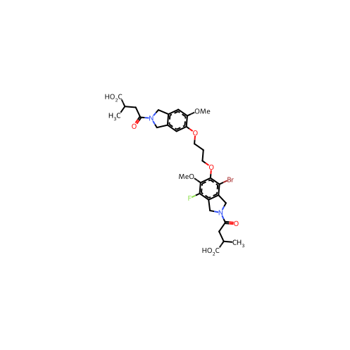 COc1cc2c(cc1OCCCOc1c(Br)c3c(c(F)c1OC)CN(C(=O)CC(C)C(=O)O)C3)CN(C(=O)CC(C)C(=O)O)C2